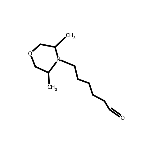 CC1COCC(C)N1CCCCCC=O